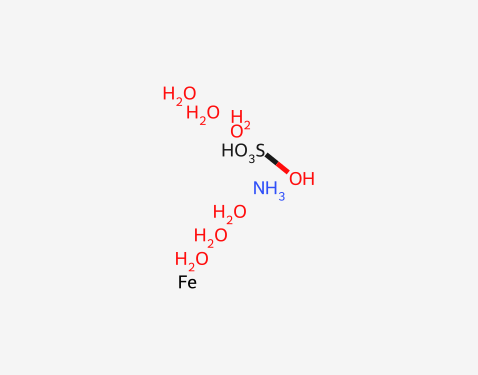 N.O.O.O.O.O.O.O=S(=O)(O)O.[Fe]